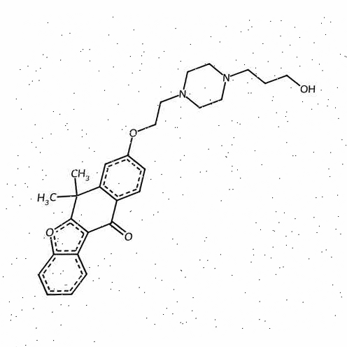 CC1(C)c2cc(OCCN3CCN(CCCO)CC3)ccc2C(=O)c2c1oc1ccccc21